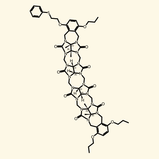 CCCOc1ccc(OCCC)c2c1CN1C(=O)N3CN4C(=O)N5CN6C(=O)N7CN8C(=O)N9Cc%10c(OCCC)ccc(OCCSc%11ccccc%11)c%10CN%10C(=O)N(CN%11C(=O)N(CN%12C(=O)N(CN%13C(=O)N(C2)[C@]1(C)[C@@]3%13C)[C@@H]4[C@@H]5%12)[C@@H]6[C@@H]7%11)[C@]8(C)[C@@]9%10C